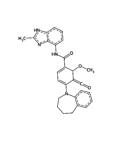 COC1C(=C=O)C(N2CCCCc3ccccc32)=CC=C1C(=O)Nc1cccc2[nH]c(C)nc12